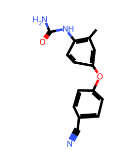 Cc1cc(Oc2ccc(C#N)cc2)ccc1NC(N)=O